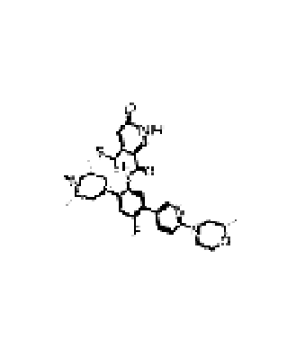 C[C@@H]1CN(c2cc(F)c(-c3ccc(N4CCO[C@@H](C)C4)nc3)cc2NC(=O)c2c[nH]c(=O)cc2C(F)F)C[C@H](C)N1C